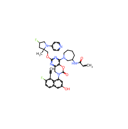 C#Cc1c(F)ccc2cc(O)cc(N3Cc4nc(OC[C@]5(C)C[C@@H](F)CN5c5ccncc5)nc(N5CCCCC(NC(=O)C=C)C5)c4OC3=O)c12